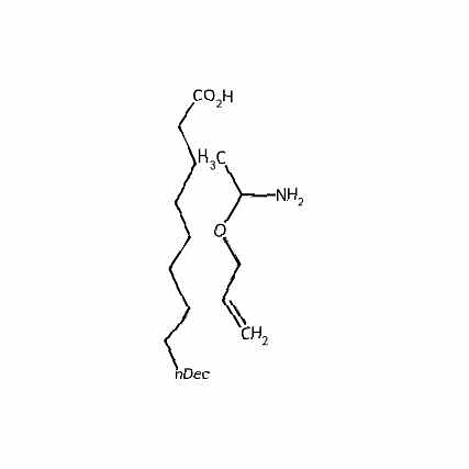 C=CCOC(C)N.CCCCCCCCCCCCCCCCCC(=O)O